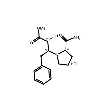 COC(=O)[C@H](O)[C@H](Cc1ccccc1)N1CCC[C@H]1C(N)=O.Cl